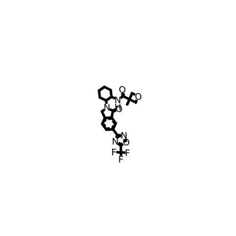 CC1(C(=O)NC2CCCCC2N2Cc3ccc(-c4noc(C(F)(F)F)n4)cc3C2=O)COC1